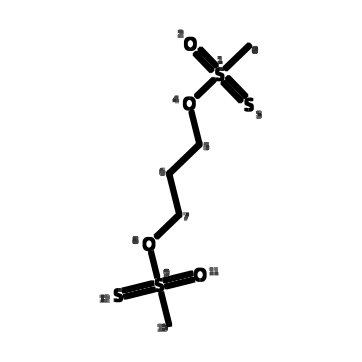 CS(=O)(=S)OCCCOS(C)(=O)=S